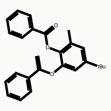 C=C(Oc1cc(C(C)(C)C)cc(C)c1OC(=O)c1ccccc1)c1ccccc1